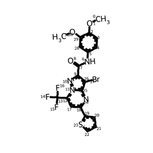 COc1ccc(NC(=O)c2nn3c(C(F)(F)F)cc(-c4cccs4)nc3c2Br)cc1OC